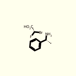 C[C@@H](N)c1ccccc1.O=C(O)[C@@H](F)Br